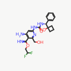 N=C(OCC(F)F)c1c(N)cc(NC(=O)N[C@@H](c2ccccc2)C2(O)CCC2)nc1CO